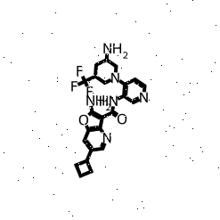 Nc1oc2cc(C3CCC3)cnc2c1C(=O)Nc1cnccc1N1CC(N)CC(C(F)(F)F)C1